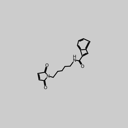 O=C(NCCCCCN1C(=O)C=CC1=O)C1=Cc2ccccc21